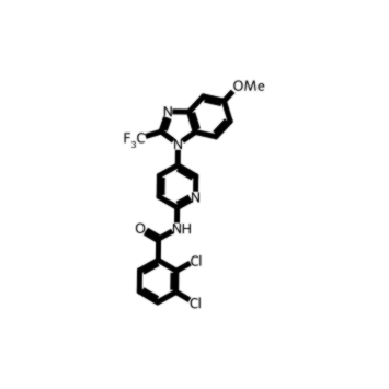 COc1ccc2c(c1)nc(C(F)(F)F)n2-c1ccc(NC(=O)c2cccc(Cl)c2Cl)nc1